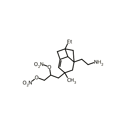 CCC12CC3=CC(C)(CC(CO[N+](=O)[O-])O[N+](=O)[O-])CC(CCN)(C1)C32